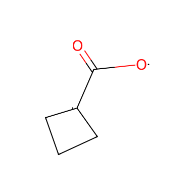 [O]C(=O)[C]1CCC1